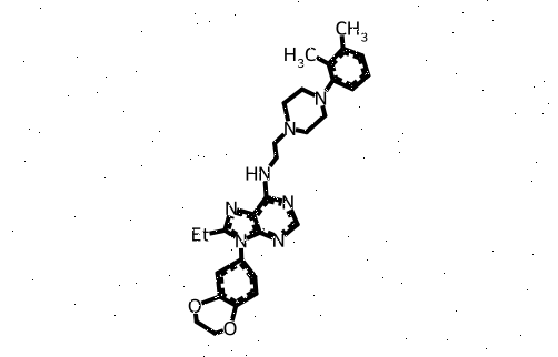 CCc1nc2c(NCCN3CCN(c4cccc(C)c4C)CC3)ncnc2n1-c1ccc2c(c1)OCCO2